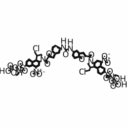 CCN(OP(=O)(O)O)S(=O)(=O)c1ccc2c3c(cc([N+](=O)[O-])c2c1)N(C(=O)c1cc2cc(NC(=O)Nc4ccc5oc(C(=O)N6CC(CCl)c7c6cc([N+](=O)[O-])c6cc(S(=O)(=O)N(CC)OP(=O)(O)O)ccc76)cc5c4)ccc2o1)CC3CCl